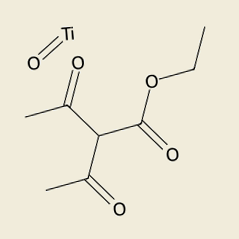 CCOC(=O)C(C(C)=O)C(C)=O.[O]=[Ti]